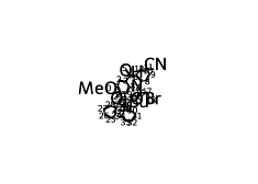 COc1cc(C(=O)c2cccc(C#N)c2)c(NC(=O)CBr)cc1O[Si](c1ccccc1)(c1ccccc1)C(C)(C)C